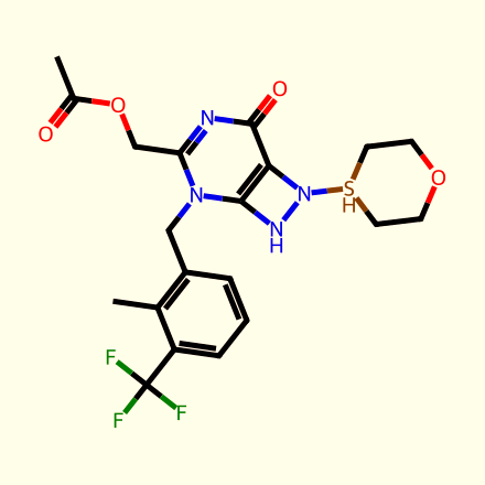 CC(=O)OCc1nc(=O)c2c([nH]n2[SH]2CCOCC2)n1Cc1cccc(C(F)(F)F)c1C